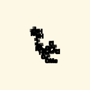 COC(=O)C[C@H](NC(=O)c1cnn(CCCNC2=NCCN2)c1)c1cc(Cl)cc(Cl)c1